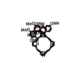 COc1ccc(-c2c(-c3ccc(OC)cc3OC)c3c(-c4ccc(OC)cc4OC)c4nc(cc5ccc(cc6nc(cc2n3-c2ccc(OC)cc2OC)C=C6)[nH]5)C=C4)c(OC)c1